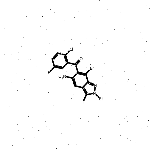 CCn1nc2c(Br)c(C(=O)c3cc(F)ccc3Cl)c([N+](=O)[O-])cc2c1I